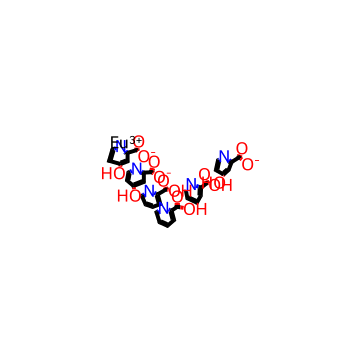 O=C(O)c1ccccn1.O=C(O)c1ccccn1.O=C(O)c1ccccn1.O=C([O-])c1cc(O)ccn1.O=C([O-])c1cc(O)ccn1.O=C([O-])c1cc(O)ccn1.[Eu+3]